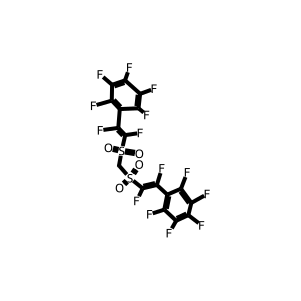 O=S(=O)(CS(=O)(=O)C(F)=C(F)c1c(F)c(F)c(F)c(F)c1F)C(F)=C(F)c1c(F)c(F)c(F)c(F)c1F